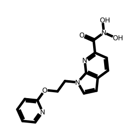 O=C(c1ccc2ccn(CCOc3ccccn3)c2n1)N(O)O